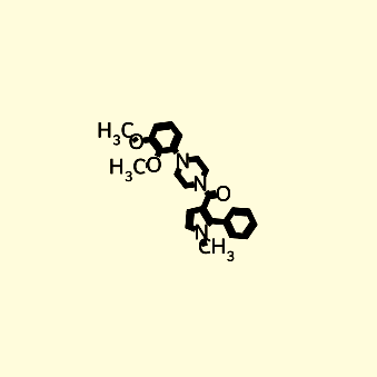 COc1cccc(N2CCN(C(=O)c3ccn(C)c3-c3ccccc3)CC2)c1OC